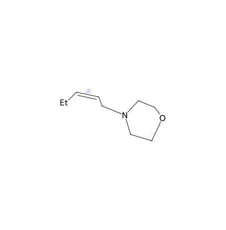 CC/C=C\CN1CCOCC1